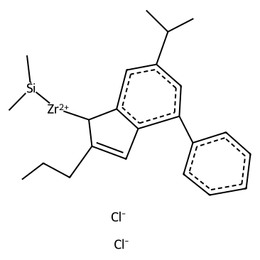 CCCC1=Cc2c(-c3ccccc3)cc(C(C)C)cc2[CH]1[Zr+2][Si](C)C.[Cl-].[Cl-]